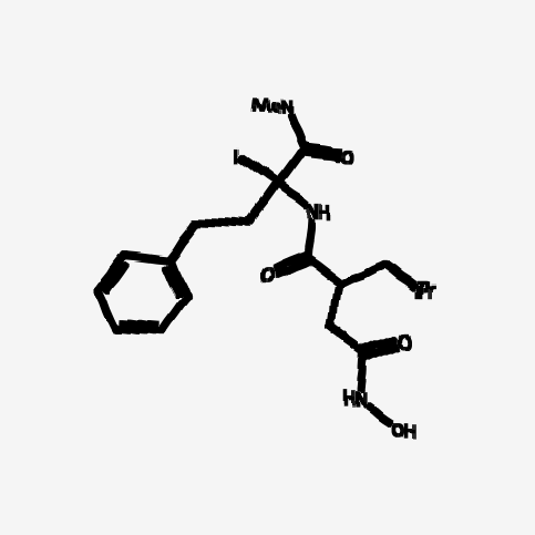 CNC(=O)C(I)(CCc1ccccc1)NC(=O)C(CC(=O)NO)CC(C)C